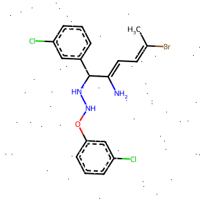 C/C(Br)=C\C=C(/N)C(NNOc1cccc(Cl)c1)c1cccc(Cl)c1